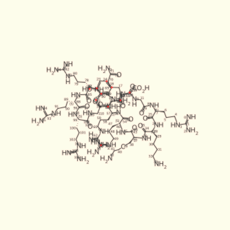 N=C(N)NCCC[C@H](NC(=O)CNC(=O)[C@@H](N)Cc1ccc(O)cc1)C(=O)N[C@@H](CCCCN)C(=O)N[C@@H](CCCCN)C(=O)N[C@@H](CCCNC(=N)N)C(=O)N[C@@H](CCCNC(=N)N)C(=O)N[C@@H](CCC(N)=O)C(=O)N[C@@H](CCCNC(=N)N)C(=O)N[C@@H](CCCNC(=N)N)C(=O)N[C@@H](CCCNC(=N)N)C(=O)NCC(=O)NCC(=O)NCC(=O)O